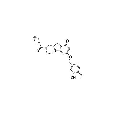 N#Cc1cc(COc2cc3n(c(=O)n2)CC2CN(C(=O)CCN)CCN32)ccc1F